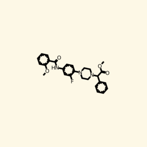 COC(=O)C(c1ccccc1)N1CCN(c2ccc(NC(=O)c3ccccc3OC)cc2F)CC1